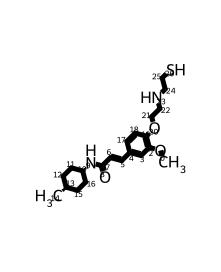 COc1cc(/C=C/C(=O)N[C@H]2CC[C@H](C)CC2)ccc1OCCNCCS